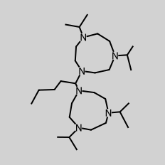 CCCCC(N1CCN(C(C)C)CCN(C(C)C)CC1)N1CCN(C(C)C)CCN(C(C)C)CC1